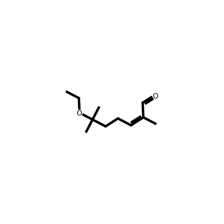 CCOC(C)(C)CCC=C(C)C=O